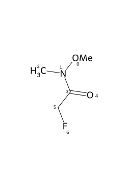 CON(C)C(=O)CF